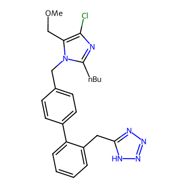 CCCCc1nc(Cl)c(COC)n1Cc1ccc(-c2ccccc2Cc2nnn[nH]2)cc1